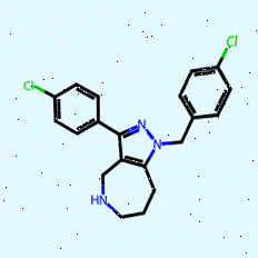 Clc1ccc(Cn2nc(-c3ccc(Cl)cc3)c3c2CCCNC3)cc1